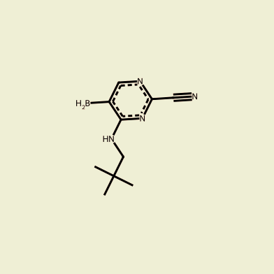 Bc1cnc(C#N)nc1NCC(C)(C)C